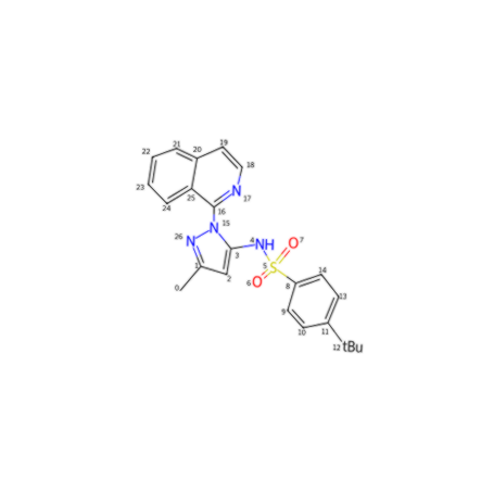 Cc1cc(NS(=O)(=O)c2ccc(C(C)(C)C)cc2)n(-c2nccc3ccccc23)n1